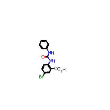 O=C(Nc1ccccc1)Nc1ccc(Br)cc1C(=O)O